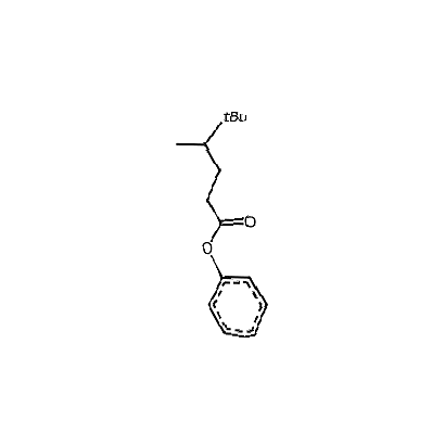 CC(CCC(=O)Oc1ccccc1)C(C)(C)C